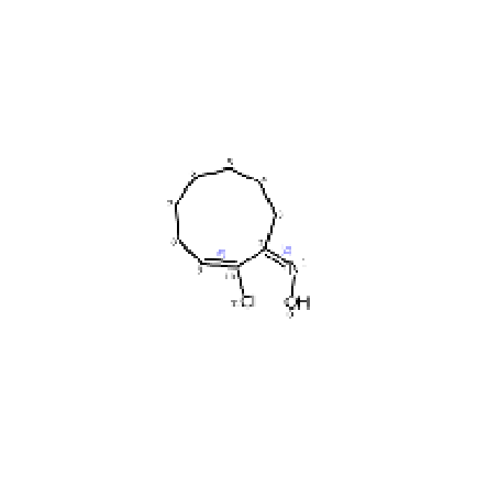 O/N=C1CCCCCC\C=C/1Cl